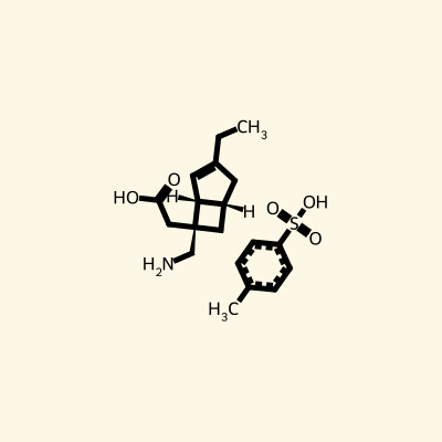 CCC1=C[C@@H]2[C@H](C1)C[C@]2(CN)CC(=O)O.Cc1ccc(S(=O)(=O)O)cc1